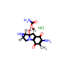 CO[C@@]12[C@H](COC(N)=O)C3=C(C(=O)C(C)=C(N)C3=O)N1C[C@@H]1N[C@@H]12.Cl